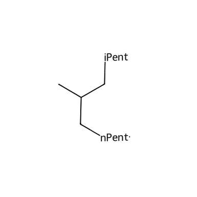 CCCC[CH]CC(C)CC(C)CCC